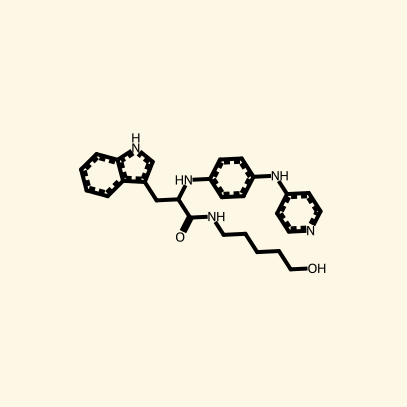 O=C(NCCCCCO)C(Cc1c[nH]c2ccccc12)Nc1ccc(Nc2ccncc2)cc1